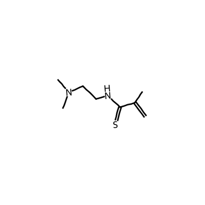 C=C(C)C(=S)NCCN(C)C